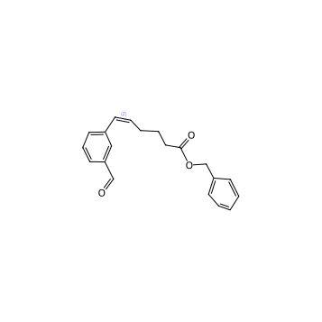 O=Cc1cccc(/C=C\CCCC(=O)OCc2ccccc2)c1